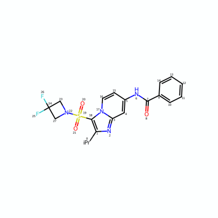 CC(C)c1nc2cc(NC(=O)c3ccccc3)ccn2c1S(=O)(=O)N1CC(F)(F)C1